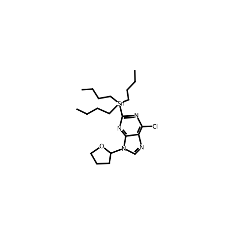 CCC[CH2][Sn]([CH2]CCC)([CH2]CCC)[c]1nc(Cl)c2ncn(C3CCCO3)c2n1